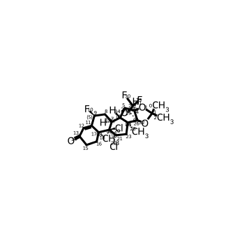 CC1(C)O[C@@H]2C[C@H]3[C@@H]4C[C@H](F)C5=CC(=O)CC[C@]5(C)[C@@]4(Cl)[C@@H](Cl)C[C@]3(C)[C@]2(C(=O)C(F)F)O1